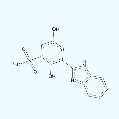 O=S(=O)(O)c1cc(O)cc(-c2nc3ccccc3[nH]2)c1O